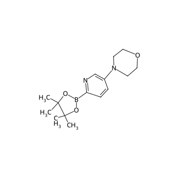 CC1(C)OB(c2ccc(N3CCOCC3)cn2)OC1(C)C